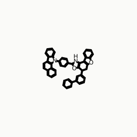 c1ccc(-c2cccc(C3Cc4oc5ccccc5c4C4=C3OC(c3ccc(-n5c6ccccc6c6ccc7ccccc7c65)cc3)N4)c2)cc1